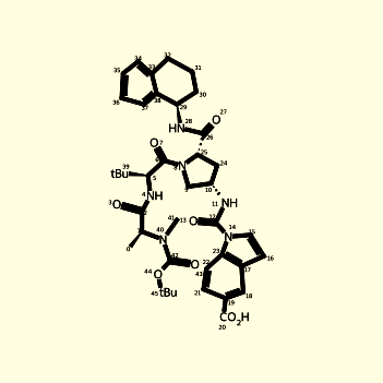 C[C@@H](C(=O)N[C@H](C(=O)N1C[C@@H](NC(=O)n2ccc3cc(C(=O)O)ccc32)C[C@H]1C(=O)N[C@@H]1CCCc2ccccc21)C(C)(C)C)N(C)C(=O)OC(C)(C)C